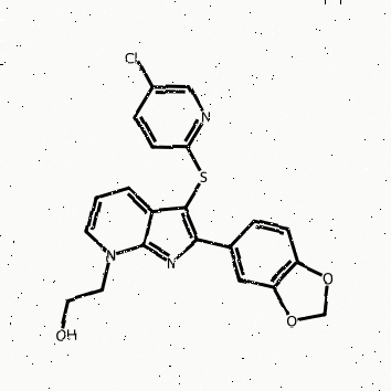 OCCn1cccc2c(Sc3ccc(Cl)cn3)c(-c3ccc4c(c3)OCO4)nc1-2